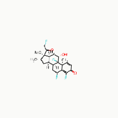 CC(=O)O[C@@]1(C(=O)CF)[C@@H](C)C[C@H]2[C@@H]3C[C@H](F)C4=C(F)C(=O)C=C[C@]4(C)[C@@]3(F)[C@@H](O)C[C@@]21C